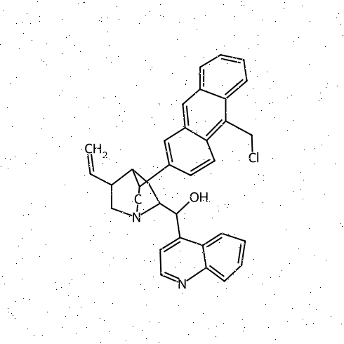 C=CC1CN2CC(c3ccc4c(CCl)c5ccccc5cc4c3)C1CC2C(O)c1ccnc2ccccc12